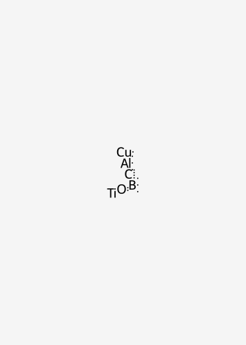 [Al].[B].[C].[Cu].[O].[Ti]